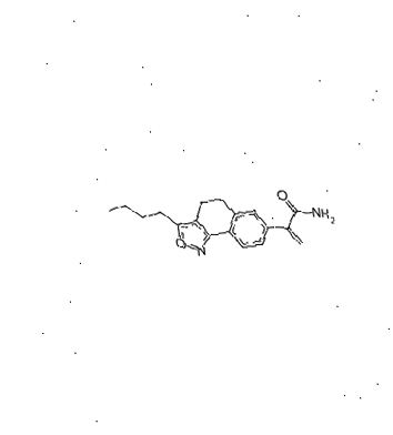 C=C(C(N)=O)c1ccc2c(c1)CCc1c-2noc1CCCC